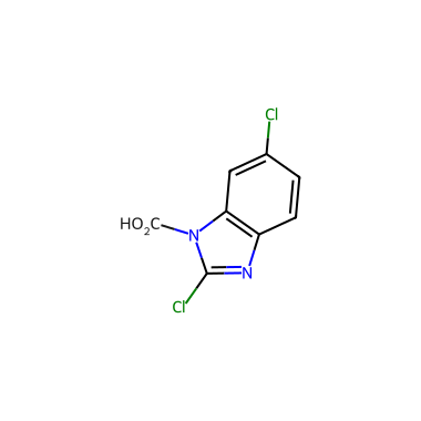 O=C(O)n1c(Cl)nc2ccc(Cl)cc21